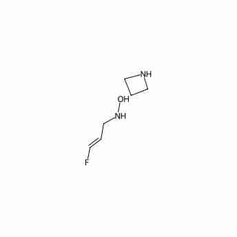 C1CNC1.ONCC=CF